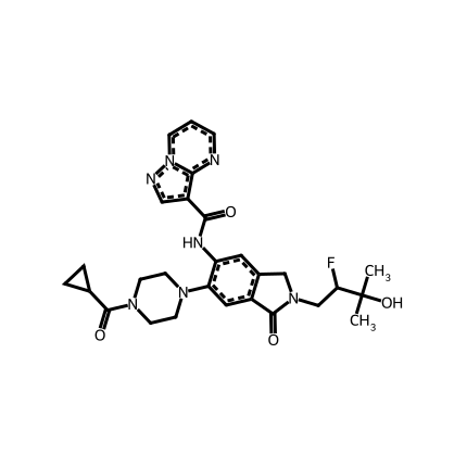 CC(C)(O)C(F)CN1Cc2cc(NC(=O)c3cnn4cccnc34)c(N3CCN(C(=O)C4CC4)CC3)cc2C1=O